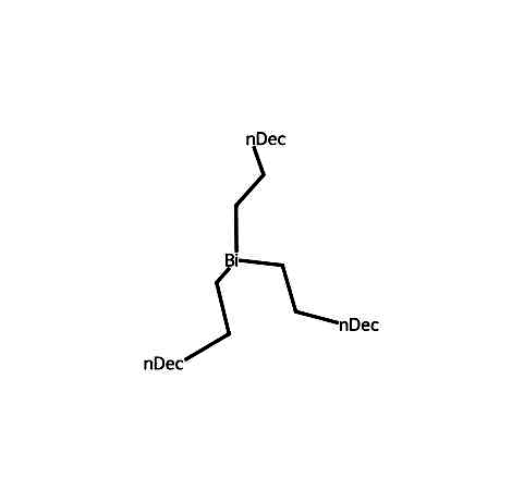 CCCCCCCCCCC[CH2][Bi]([CH2]CCCCCCCCCCC)[CH2]CCCCCCCCCCC